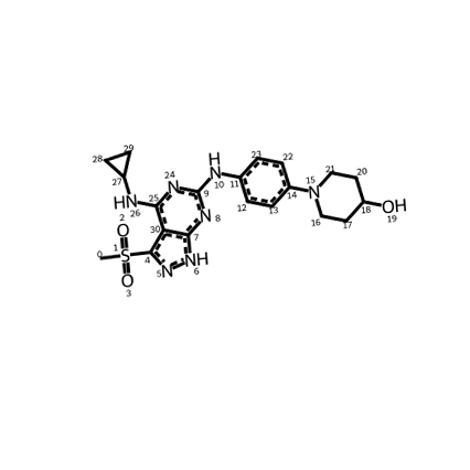 CS(=O)(=O)c1n[nH]c2nc(Nc3ccc(N4CCC(O)CC4)cc3)nc(NC3CC3)c12